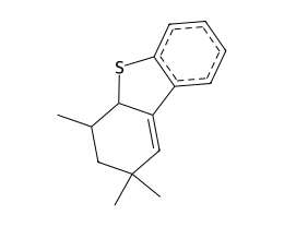 CC1CC(C)(C)C=C2c3ccccc3SC21